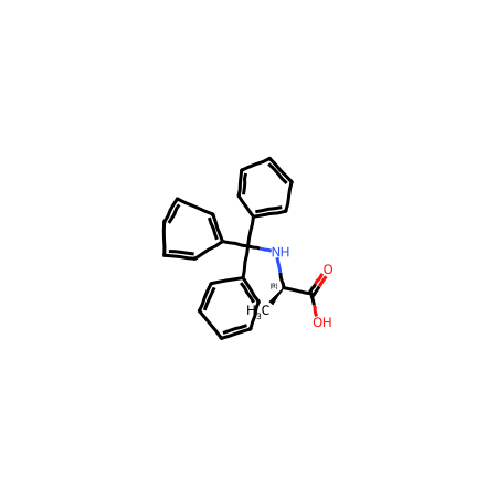 C[C@@H](NC(c1ccccc1)(c1ccccc1)c1ccccc1)C(=O)O